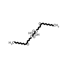 CCCCCCCCCC1OC1CCCCOC(=O)C(O)C(O)C(=O)OCCCCC1OC1CCCCCCCCC